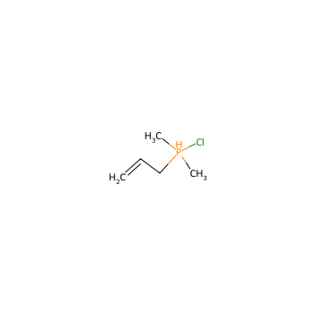 C=CC[PH](C)(C)Cl